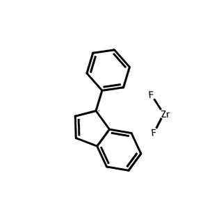 C1=Cc2ccccc2[C]1c1ccccc1.[F][Zr][F]